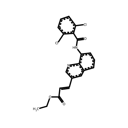 CCOC(=O)C=Cc1cnc2c(NC(=O)c3c(Cl)cccc3Cl)cccc2c1